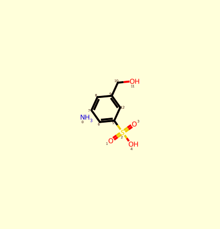 N.O=S(=O)(O)c1cccc(CO)c1